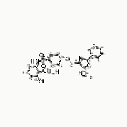 Cc1oc(-c2ccccc2)nc1COc1ccc(S(=O)(=O)Nc2cccc(Cl)c2C(=O)O)cc1